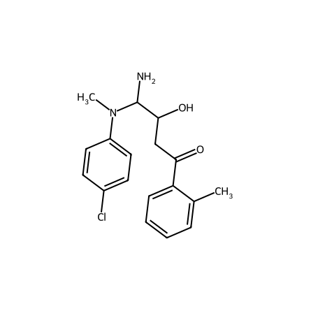 Cc1ccccc1C(=O)CC(O)C(N)N(C)c1ccc(Cl)cc1